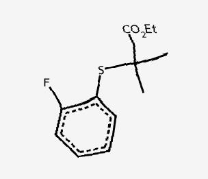 CCOC(=O)C(C)(C)Sc1ccccc1F